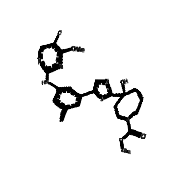 COc1nc(Nc2cc(C)cc(-c3cnc([C@]4(O)CCCN(C(=O)OC(C)(C)C)CC4)s3)c2)ncc1Cl